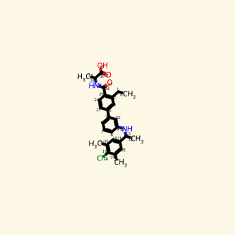 CCc1cc(-c2cccc(NC(C)c3cc(C)c(Cl)c(C)c3)c2)ccc1C(=O)NC(C)C(=O)O